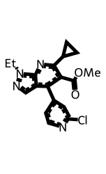 CCn1ncc2c(-c3ccnc(Cl)c3)c(C(=O)OC)c(C3CC3)nc21